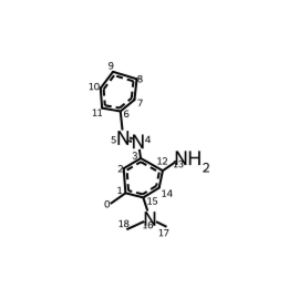 Cc1cc(/N=N/c2ccccc2)c(N)cc1N(C)C